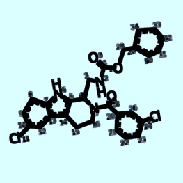 O=C(NCC1c2[nH]c3ccc(Cl)cc3c2CCN1C(=O)c1cccc(Cl)c1)OCc1ccccc1